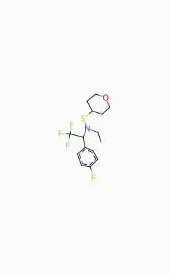 CCN(SC1CCOCC1)C(c1ccc(F)cc1)C(F)(F)F